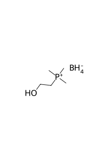 C[P+](C)(C)CCO.[BH4-]